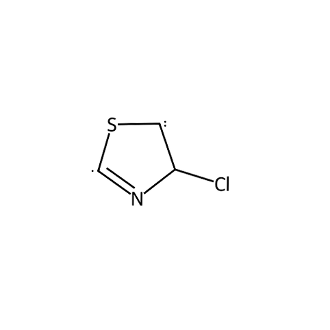 ClC1[C]S[C]=N1